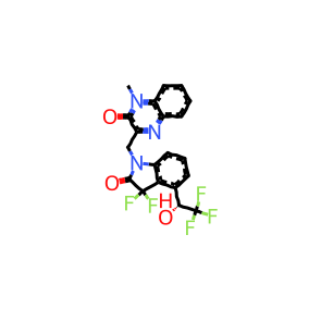 Cn1c(=O)c(CN2C(=O)C(F)(F)c3c([C@@H](O)C(F)(F)F)cccc32)nc2ccccc21